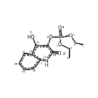 CCOP(=O)(OCC)Oc1c(O)c2ccccc2[nH]c1=O